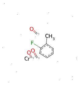 Cc1ccccc1F.[C]=O.[C]=O.[C]=O.[Cr]